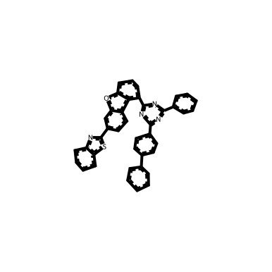 c1ccc(-c2ccc(-c3nc(-c4ccccc4)nc(-c4cccc5oc6cc(-c7nc8ccccc8s7)ccc6c45)n3)cc2)cc1